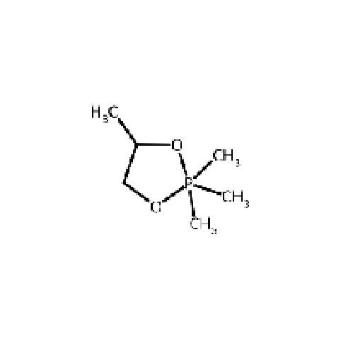 CC1COP(C)(C)(C)O1